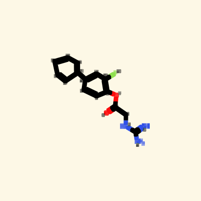 N=C(N)NCC(=O)Oc1ccc(-c2ccccc2)cc1F